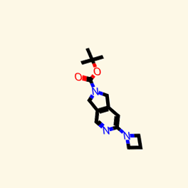 CC(C)(C)OC(=O)N1Cc2cnc(N3CCC3)cc2C1